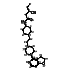 CC[C@@H](O)CC(=O)NC1CCC(CCN2CCN(c3nccc4c3CCO4)CC2)CC1